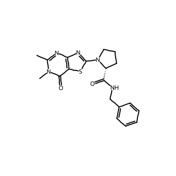 Cc1nc2nc(N3CCC[C@@H]3C(=O)NCc3ccccc3)sc2c(=O)n1C